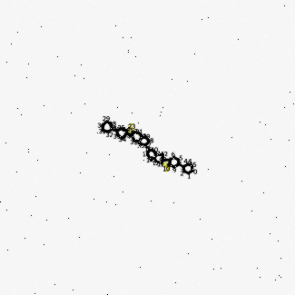 c1ccc(-c2ccc3c(c2)sc2cc4ccc(-c5ccc6cc7sc8cc(-c9ccccc9)ccc8c7cc6c5)cc4cc23)cc1